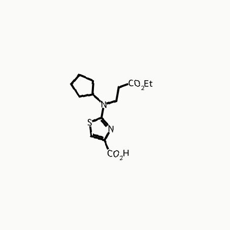 CCOC(=O)CCN(c1nc(C(=O)O)cs1)C1CCCC1